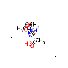 COc1cc(Nc2ncnc3c(C#Cc4cc(C(=O)O)ccc4C)csc23)cc(OC)c1OC